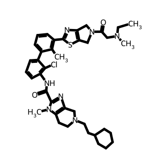 CCN(C)CC(=O)N1Cc2nc(-c3cccc(-c4cccc(NC(=O)c5nc6c(n5C)CCN(CCC5CCCCC5)C6)c4Cl)c3C)sc2C1